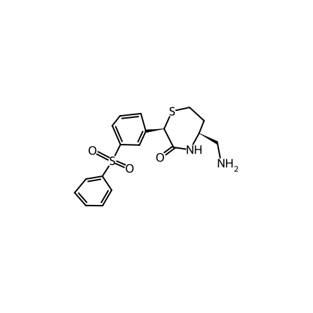 NC[C@@H]1CCS[C@H](c2cccc(S(=O)(=O)c3ccccc3)c2)C(=O)N1